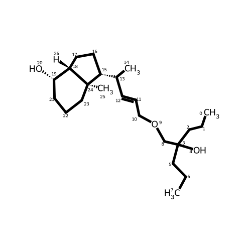 CCCC(O)(CCC)COC/C=C/C(C)[C@H]1CC[C@H]2[C@@H](O)CCC[C@]12C